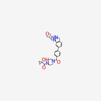 O=C(c1ccc(-c2ccc3c(c2)N(CC2COC2)NC3)cc1)N1CCN(C(=O)C2(O)CC2)CC1